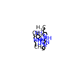 CCCC1CCN(Nc2nc(NC3CCC(N)CC3)nc3c2ncn3C2CCCC2)CC1.CCCCNCCCC